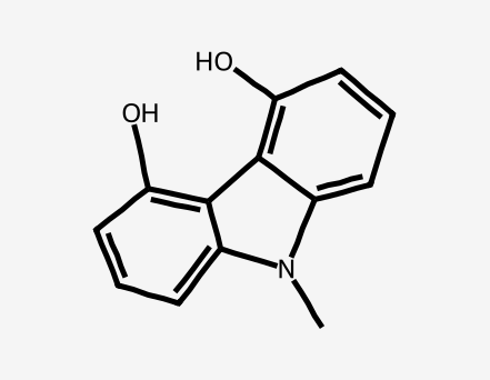 Cn1c2cccc(O)c2c2c(O)cccc21